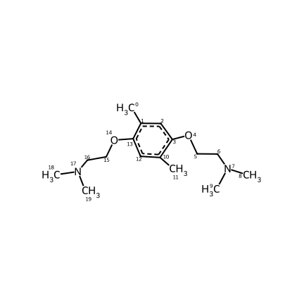 Cc1cc(OCCN(C)C)c(C)cc1OCCN(C)C